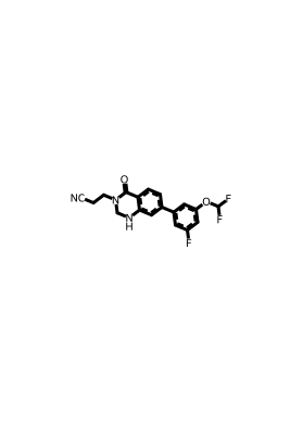 N#CCCN1CNc2cc(-c3cc(F)cc(OC(F)F)c3)ccc2C1=O